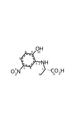 C[C@H](Nc1cc([N+](=O)[O-])ccc1O)C(=O)O